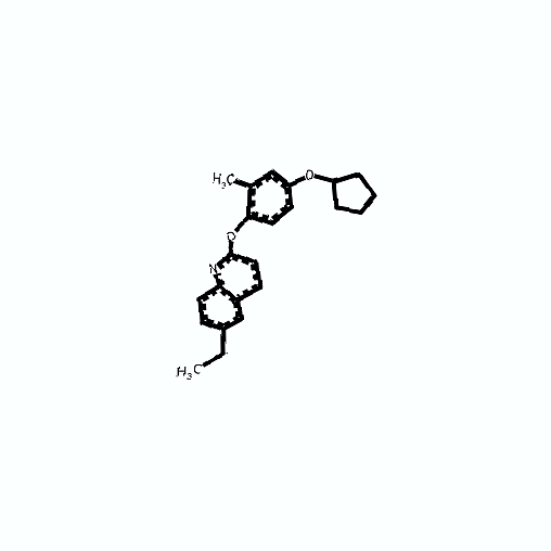 C[CH]c1ccc2nc(Oc3ccc(OC4CCCC4)cc3C)ccc2c1